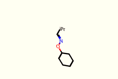 CC(C)C=NOC1CCCCC1